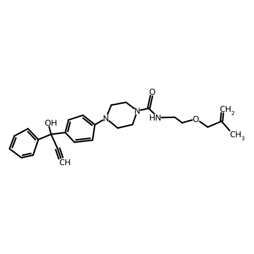 C#CC(O)(c1ccccc1)c1ccc(N2CCN(C(=O)NCCOCC(=C)C)CC2)cc1